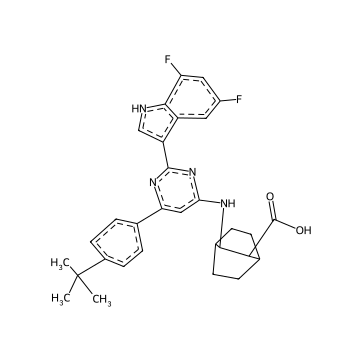 CC(C)(C)c1ccc(-c2cc(NC3C4CCC(CC4)C3C(=O)O)nc(-c3c[nH]c4c(F)cc(F)cc34)n2)cc1